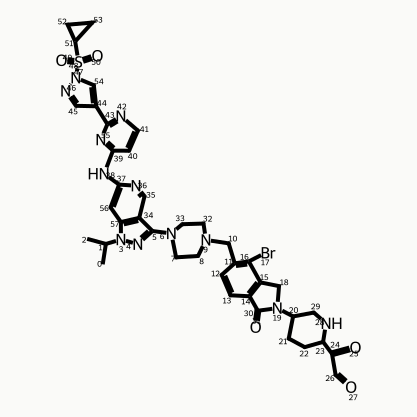 CC(C)n1nc(N2CCN(Cc3ccc4c(c3Br)CN(C3CCC(C(=O)C=O)NC3)C4=O)CC2)c2cnc(Nc3ccnc(-c4cnn(S(=O)(=O)C5CC5)c4)n3)cc21